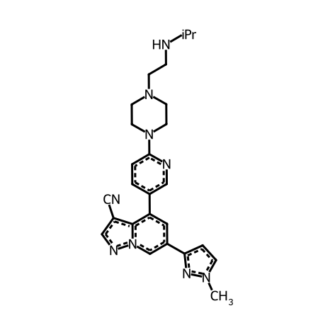 CC(C)NCCN1CCN(c2ccc(-c3cc(-c4ccn(C)n4)cn4ncc(C#N)c34)cn2)CC1